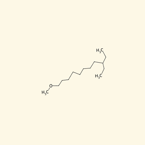 CCC(CC)CCCCCCCCOC